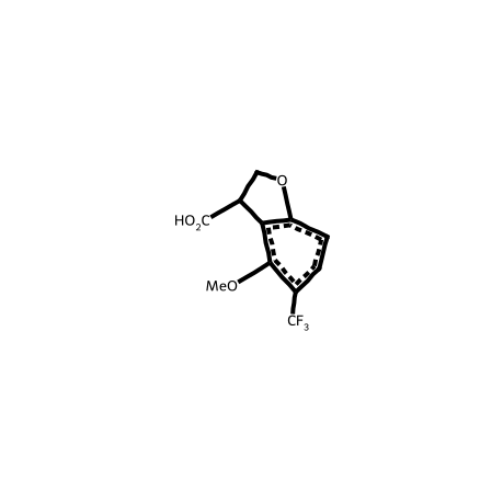 COc1c(C(F)(F)F)ccc2c1C(C(=O)O)CO2